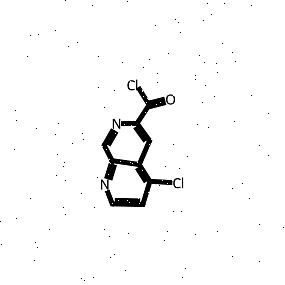 O=C(Cl)c1cc2c(Cl)ccnc2cn1